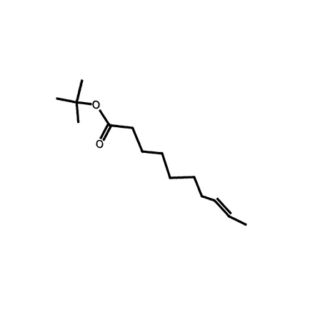 CC=CCCCCCCC(=O)OC(C)(C)C